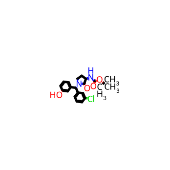 CC(C)(C)OC(=O)NC1CCN(C(c2cccc(O)c2)c2cccc(Cl)c2)C1=O